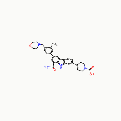 Cc1cc(-c2cc(C(N)=O)c3[nH]c4cc(C5=CCN(C(=O)O)CC5)ccc4c3c2)ccc1CN1CCOCC1